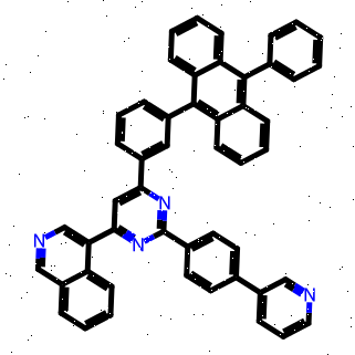 c1ccc(-c2c3ccccc3c(-c3cccc(-c4cc(-c5cncc6ccccc56)nc(-c5ccc(-c6cccnc6)cc5)n4)c3)c3ccccc23)cc1